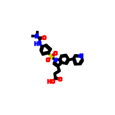 CN(C)C(=O)Nc1ccc(S(=O)(=O)n2cc(CCC(=O)O)c3cc(-c4cccnc4)ccc32)cc1